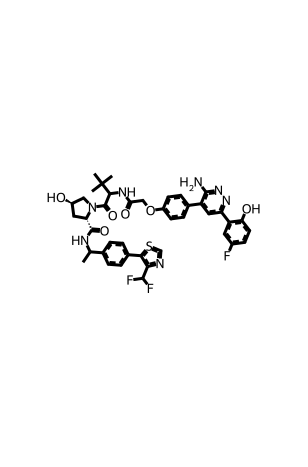 CC(NC(=O)[C@@H]1C[C@@H](O)CN1C(=O)C(NC(=O)COc1ccc(-c2cc(-c3cc(F)ccc3O)nnc2N)cc1)C(C)(C)C)c1ccc(-c2scnc2C(F)F)cc1